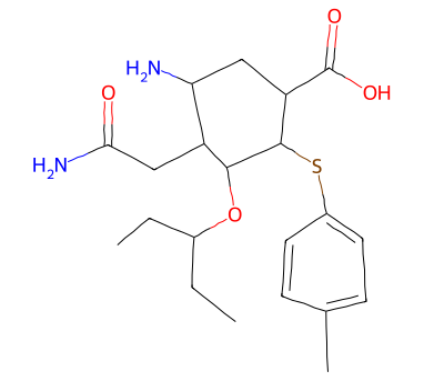 CCC(CC)OC1C(CC(N)=O)C(N)CC(C(=O)O)C1Sc1ccc(C)cc1